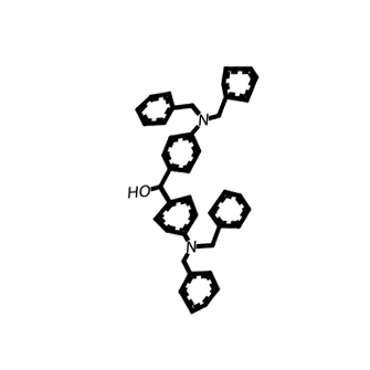 OC(c1ccc(N(Cc2ccccc2)Cc2ccccc2)cc1)c1ccc(N(Cc2ccccc2)Cc2ccccc2)cc1